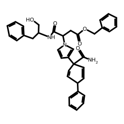 NC(=O)C1(c2ccn(C(CC(=O)OCc3ccccc3)C(=O)NC(CO)Cc3ccccc3)c2)C=CC(c2ccccc2)C=C1